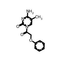 Cc1cn(C(=O)COc2ccccc2)c(=O)nc1N